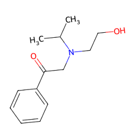 CC(C)N(CCO)CC(=O)c1ccccc1